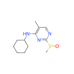 Cc1cnc([S+](C)[O-])nc1NC1CCCCC1